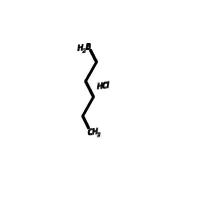 BCCCCC.Cl